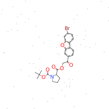 CC(C)(C)OC(=O)N1CCCC1C(=O)OCC(=O)c1ccc2c(c1)oc1cc(Br)ccc12